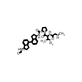 CNCC(=O)NC(C(=O)N1CCC[C@H]1C(=O)N[C@@H]1CCc2c(-c3cccc4c3CC[C@H]4NC=O)cccc21)C(C)C